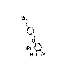 CCCc1c(OCc2ccc(CCBr)cc2)ccc(C(C)=O)c1O